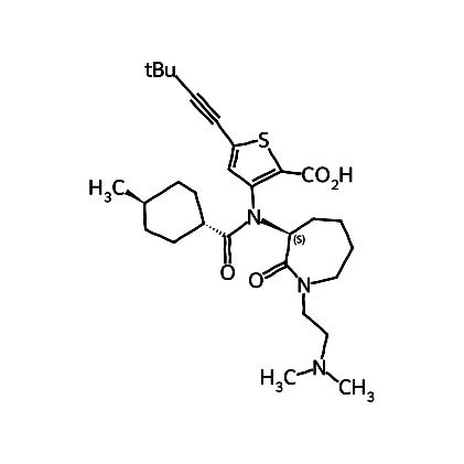 CN(C)CCN1CCCC[C@H](N(c2cc(C#CC(C)(C)C)sc2C(=O)O)C(=O)[C@H]2CC[C@H](C)CC2)C1=O